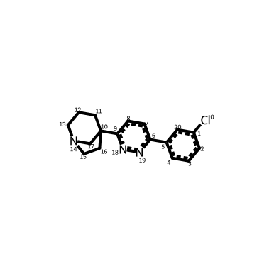 Clc1cccc(-c2ccc(C34CCCN(CC3)C4)nn2)c1